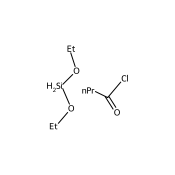 CCCC(=O)Cl.CCO[SiH2]OCC